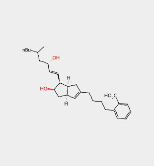 CCCCC(C)C[C@H](O)/C=C/[C@H]1[C@H]2CC(CCCCc3ccccc3C(=O)O)=C[C@H]2C[C@H]1O